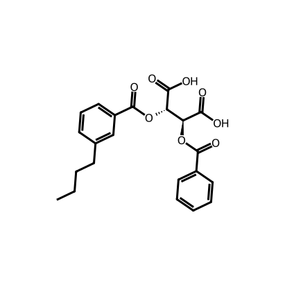 CCCCc1cccc(C(=O)O[C@H](C(=O)O)[C@H](OC(=O)c2ccccc2)C(=O)O)c1